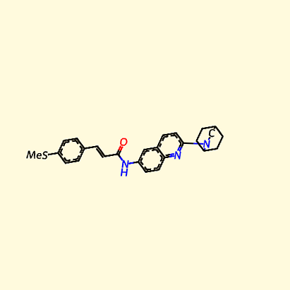 CSc1ccc(/C=C/C(=O)Nc2ccc3nc(N4CC5CCC4CC5)ccc3c2)cc1